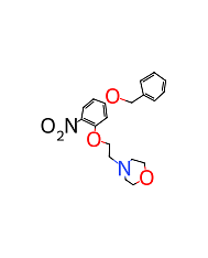 O=[N+]([O-])c1ccc(OCc2ccccc2)cc1OCCN1CCOCC1